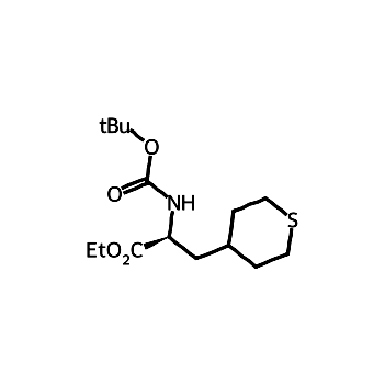 CCOC(=O)[C@H](CC1CCSCC1)NC(=O)OC(C)(C)C